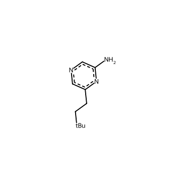 CC(C)(C)CCc1cncc(N)n1